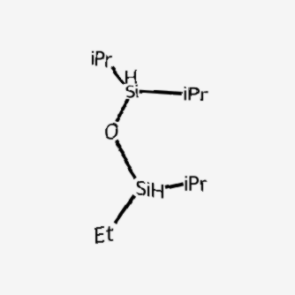 CC[SiH](O[SiH](C(C)C)C(C)C)C(C)C